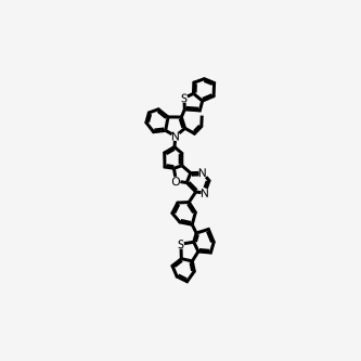 C/C=C\c1c(-c2cc3ccccc3s2)c2ccccc2n1-c1ccc2oc3c(-c4cccc(-c5cccc6c5sc5ccccc56)c4)ncnc3c2c1